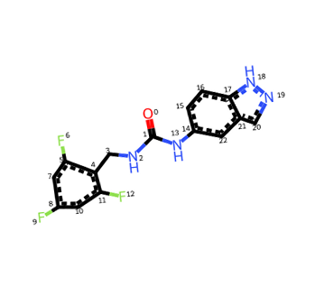 O=C(NCc1c(F)cc(F)cc1F)Nc1ccc2[nH]ncc2c1